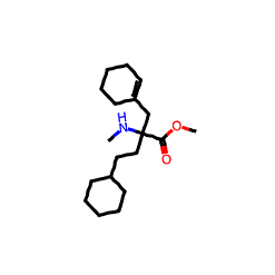 CNC(CCC1CCCCC1)(CC1=CCCCC1)C(=O)OC